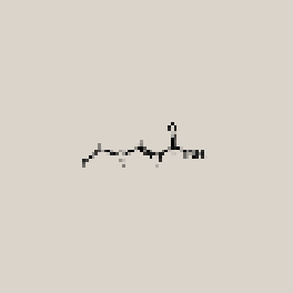 CCOC=NC(N)=O